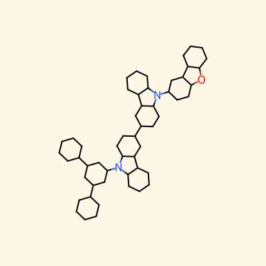 C1CCC(C2CC(C3CCCCC3)CC(N3C4CCCCC4C4CC(C5CCC6C(C5)C5CCCCC5N6C5CCC6OC7CCCCC7C6C5)CCC43)C2)CC1